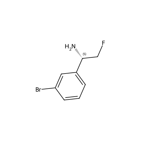 N[C@H](CF)c1cccc(Br)c1